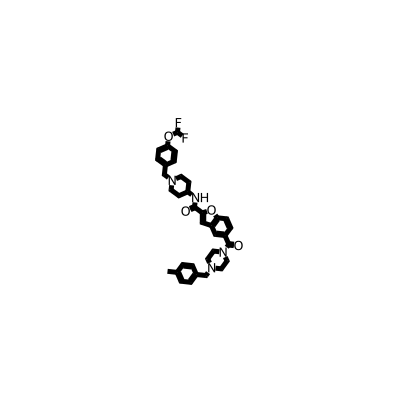 Cc1ccc(CN2CCN(C(=O)c3ccc4oc(C(=O)NC5CCN(Cc6ccc(OC(F)F)cc6)CC5)cc4c3)CC2)cc1